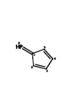 P=C1C=CC=C1